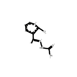 CC(=NNC(=O)C(C)C)c1cccnc1Cl